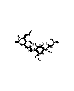 C=CN(C)/C(=C/CC)CC(C)/N=C(\NC)Nc1cc(N)c(N(C)CCN(C)C)cc1OC